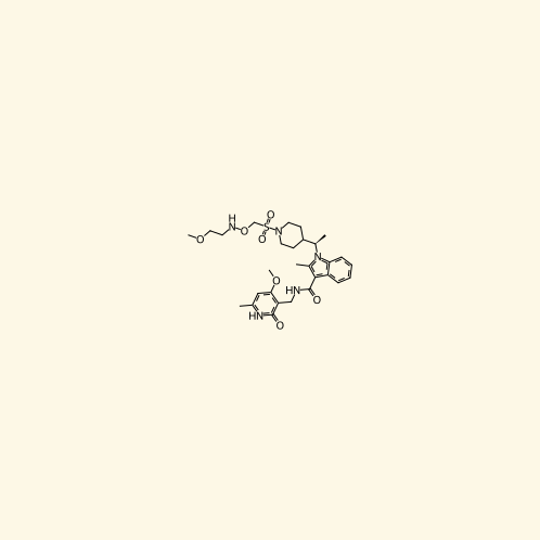 COCCNOCS(=O)(=O)N1CCC([C@@H](C)n2c(C)c(C(=O)NCc3c(OC)cc(C)[nH]c3=O)c3ccccc32)CC1